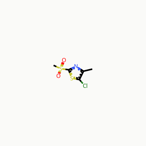 Cc1nc(S(C)(=O)=O)sc1Cl